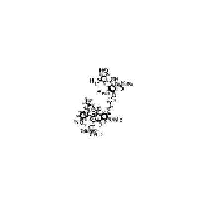 C=C1C[C@@H](CO[Si](C)(C)C(C)(C)C)N(C(=O)c2cc(OC)c(OCCCCCOc3cc(NC(=O)OC(C)(C)C)c(C(=O)N4CC(=C)C[C@H]4CO)cc3OC)cc2NC(=O)OCC2(SSc3ccc([N+](=O)[O-])cn3)CCC2)C1